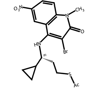 CC(=O)SCC[C@@H](Nc1c(Br)c(=O)n(C)c2ccc([N+](=O)[O-])cc12)C1CC1